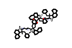 CN1/C(=C/C=C/C2=[N+](C)c3ccc4ccccc4c3C2(CC=CCC2(Cc3ccccc3)C(/C=C/C=C3/N(C)c4ccc5ccccc5c4C3(C)Cc3ccccc3)=[N+](C)c3ccc4ccccc4c32)Cc2ccccc2)C(C)(Cc2ccccc2)c2c1ccc1ccccc21